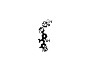 Cc1cc(-c2[nH]c3ccc(C4CN(C(=O)CN(C)C(=O)O)CCO4)cc3c2C(C)C)cn2ncnc12